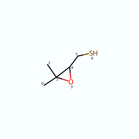 CC1(C)OC1CS